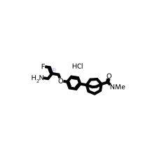 CNC(=O)C12CCCC(c3ccc(OC/C(=C/F)CN)cc3)(CC1)CC2.Cl